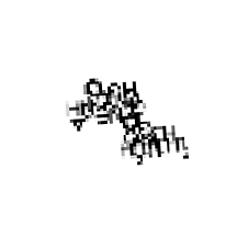 CC(C)(C)C(Oc1ccc2c(c1)S(=O)(=O)N=C(c1c(O)c3ccccc3n(NCC3CC3)c1=O)N2)C(=O)O